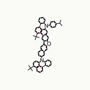 CC(C)c1ccc(N(c2ccc3cc4c(cc3c2)oc2cc3cc(N(c5ccc(C(C)(C)C)cc5)c5ccccc5-c5ccccc5)ccc3cc24)c2ccccc2-c2ccc(C(C)(C)C)cc2)cc1